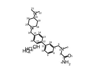 CN(CC(N)=O)Cc1cccc(-c2ccc(CN3CCC(N(C)C)CC3)cc2)c1.Cl.Cl.Cl